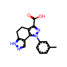 Cc1cccc(-n2nc(C(=O)O)c3c2-c2cn[nH]c2CC3)c1